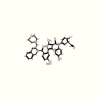 Cc1[nH]c(-c2cc(Cl)ccc2C(=O)N2Cc3ccccc3C[C@H]2CN2CCOCC2)c(C)c1C(=O)N(c1ccc(O)cc1)c1ccc(F)c(C#N)c1.Cl